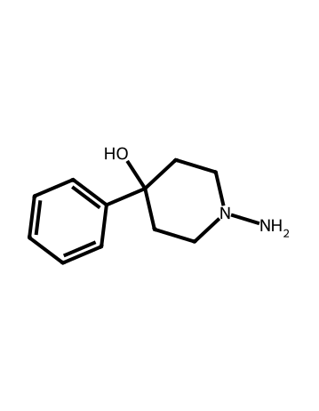 NN1CCC(O)(c2ccccc2)CC1